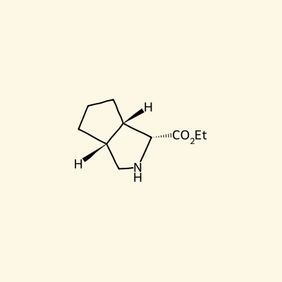 CCOC(=O)[C@@H]1NC[C@@H]2CCC[C@@H]21